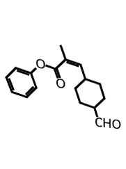 C/C(=C/C1CCC(C=O)CC1)C(=O)Oc1ccccc1